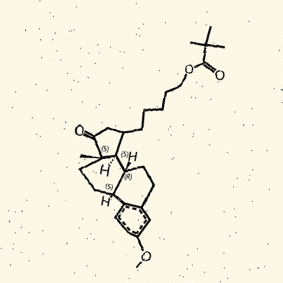 COc1ccc2c(c1)CC[C@@H]1[C@@H]2CC[C@]2(C)C(=O)CC(CCCCCOC(=O)C(C)(C)C)[C@@H]12